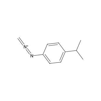 C=[N+]=Nc1ccc(C(C)C)cc1